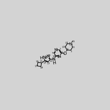 CN1CCC(Oc2cncc(Nc3cc(C4CCC4)[nH]n3)n2)CC1